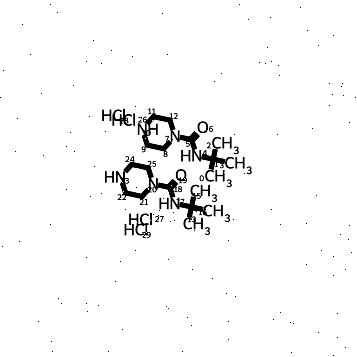 CC(C)(C)NC(=O)N1CCNCC1.CC(C)(C)NC(=O)N1CCNCC1.Cl.Cl.Cl.Cl